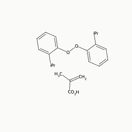 C=C(C)C(=O)O.CC(C)c1ccccc1OOc1ccccc1C(C)C